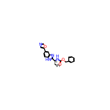 CC(C)C[C@@H](NC(=O)OCc1ccccc1)c1nc2cc(-c3cnco3)ccc2[nH]1